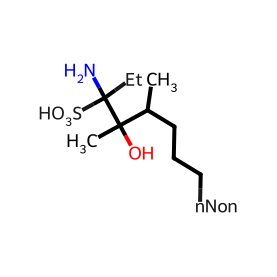 CCCCCCCCCCCCC(C)C(C)(O)C(N)(CC)S(=O)(=O)O